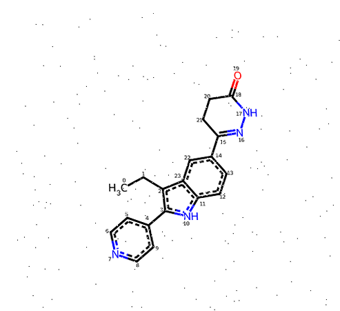 CCc1c(-c2ccncc2)[nH]c2ccc(C3=NNC(=O)CC3)cc12